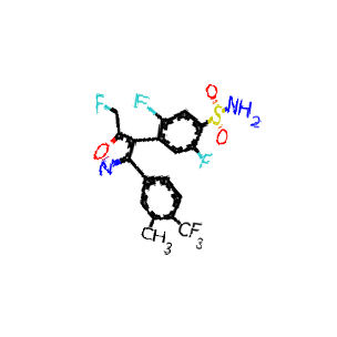 Cc1cc(-c2noc(CF)c2-c2cc(F)c(S(N)(=O)=O)cc2F)ccc1C(F)(F)F